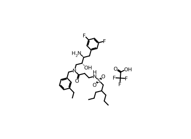 CCCC(CCC)CS(=O)(=O)NCCC(=O)N(Cc1cccc(CC)c1)C[C@@H](O)[C@@H](N)Cc1cc(F)cc(F)c1.O=C(O)C(F)(F)F